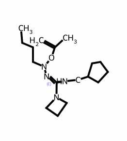 C=C(C)ON(CCCC)/N=C(\NCC1CCCC1)N1CCC1